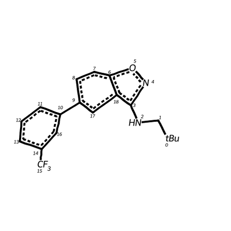 CC(C)(C)CNc1noc2ccc(-c3cccc(C(F)(F)F)c3)cc12